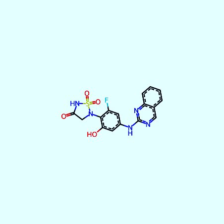 O=C1CN(c2c(O)cc(Nc3ncc4ccccc4n3)cc2F)S(=O)(=O)N1